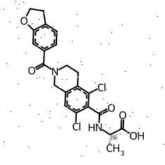 C[C@H](NC(=O)c1c(Cl)cc2c(c1Cl)CCN(C(=O)c1ccc3c(c1)OCC3)C2)C(=O)O